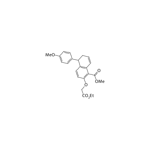 CCOC(=O)COc1ccc2c(c1C(=O)OC)C=CCC2c1ccc(OC)cc1